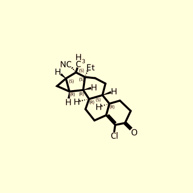 CC[C@]12CC[C@H]3[C@@H](CCC4=C(Cl)C(=O)CC[C@@H]43)[C@@H]1[C@@H]1C[C@@H]1[C@]2(C)C#N